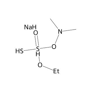 CCO[SH](=O)(S)ON(C)C.[NaH]